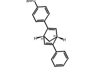 COc1ccc(C2=C[C@H]3C[C@@H]2C=C3c2ccccc2)cc1